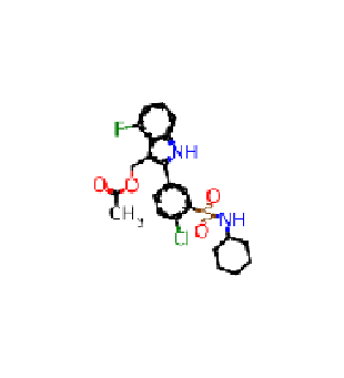 CC(=O)OCc1c(-c2ccc(Cl)c(S(=O)(=O)NC3CCCCC3)c2)[nH]c2cccc(F)c12